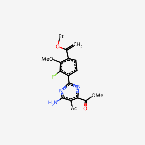 C=C(OCC)c1ccc(-c2nc(N)c(C(C)=O)c(C(=O)OC)n2)c(F)c1OC